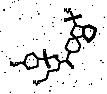 CCCCC(NS(=O)(=O)C1CCN(C)CC1)C(=O)N1CCC2(CC1)CN(S(C)(=O)=O)c1ccccc12